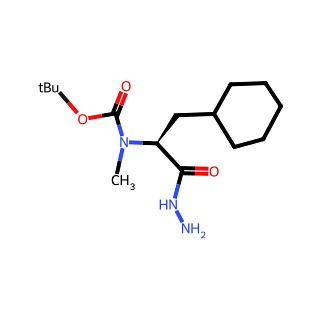 CN(C(=O)OC(C)(C)C)[C@@H](CC1CCCCC1)C(=O)NN